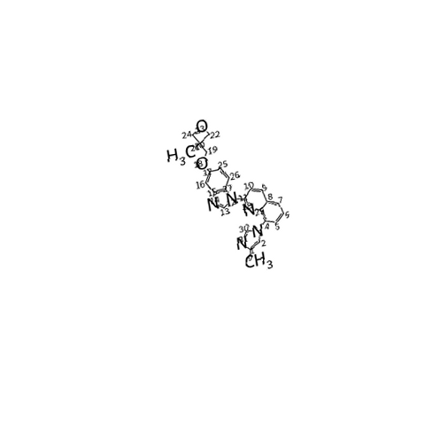 Cc1cn(-c2cccc3ccc(-n4cnc5cc(OCC6(C)COC6)ccc54)nc23)cn1